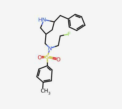 Cc1ccc(S(=O)(=O)N(CCF)CC2CNC(Cc3ccccc3)C2)cc1